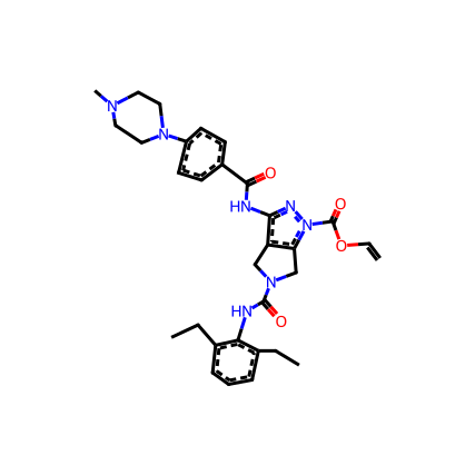 C=COC(=O)n1nc(NC(=O)c2ccc(N3CCN(C)CC3)cc2)c2c1CN(C(=O)Nc1c(CC)cccc1CC)C2